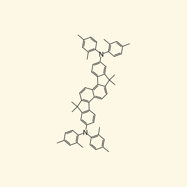 Cc1ccc(N(c2ccc3c(c2)C(C)(C)c2ccc4c5c(ccc4c2-3)C(C)(C)c2cc(N(c3ccc(C)cc3C)c3ccc(C)cc3C)ccc2-5)c2ccc(C)cc2C)c(C)c1